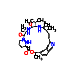 C=C1N[C@@H](C(C)C)C(=O)N[C@@H](C)C(=O)N2CCC[C@H](N2)C(=O)O[C@H](C)c2ccc3cnc(cc3c2)/C=C/C1C